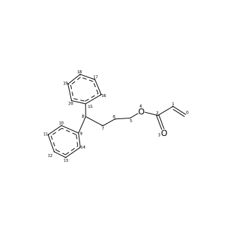 C=CC(=O)OCCCC(c1ccccc1)c1ccccc1